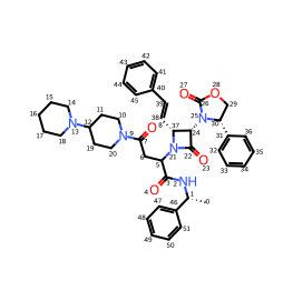 C[C@@H](NC(=O)C(CC(=O)N1CCC(N2CCCCC2)CC1)N1C(=O)[C@@H](N2C(=O)OC[C@@H]2c2ccccc2)[C@H]1/C=C/c1ccccc1)c1ccccc1